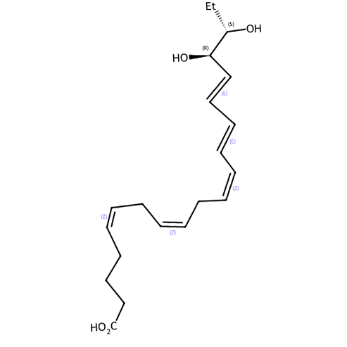 CC[C@H](O)[C@H](O)/C=C/C=C/C=C\C/C=C\C/C=C\CCCC(=O)O